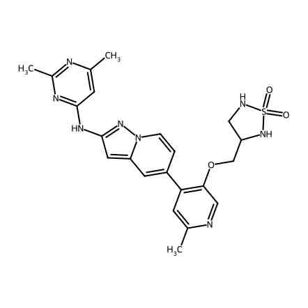 Cc1cc(-c2ccn3nc(Nc4cc(C)nc(C)n4)cc3c2)c(OCC2CNS(=O)(=O)N2)cn1